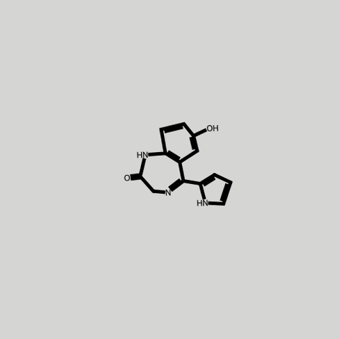 O=C1CN=C(c2ccc[nH]2)c2cc(O)ccc2N1